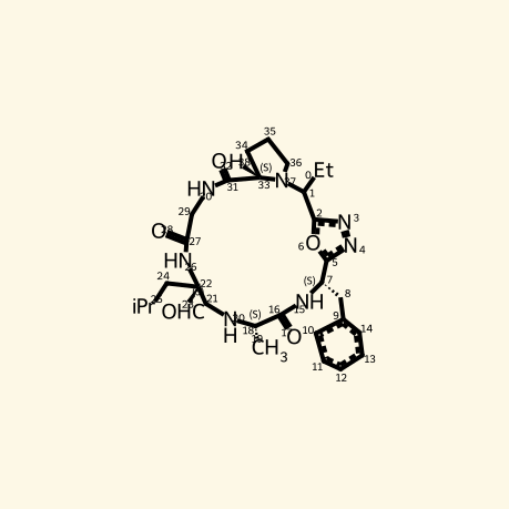 CCC1c2nnc(o2)[C@H](Cc2ccccc2)NC(=O)[C@H](C)NC[C@](C=O)(CC(C)C)NC(=O)CNC(=O)[C@@H]2CCCN12